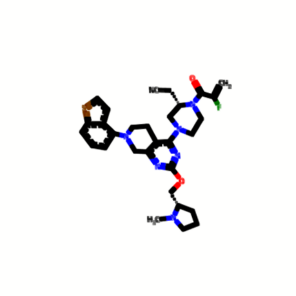 C=C(F)C(=O)N1CCN(c2nc(OC[C@@H]3CCCN3C)nc3c2CCN(c2cccc4sccc24)C3)C[C@@H]1CC#N